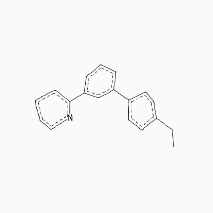 CCc1ccc(-c2cccc(-c3ccccn3)c2)cc1